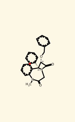 CN1C(=O)CN2C(=O)[C@@H](OCc3ccccc3)[C@]2(c2ccccc2)c2ccccc21